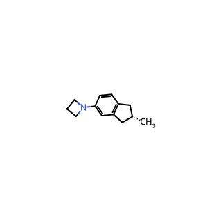 C[C@H]1Cc2ccc(N3CCC3)cc2C1